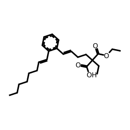 CCCCCCC=Cc1ccccc1C=CCCC(CC)(C(=O)O)C(=O)OCC